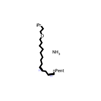 CCCCC/C=C\C/C=C\CCCCCCCCOCCC(C)C.N